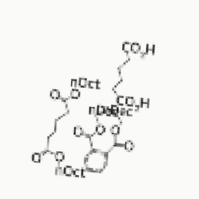 CCCCCCCCCCCOC(=O)c1ccccc1C(=O)OCCCCCCCCCCC.CCCCCCCCOC(=O)CCCCC(=O)OCCCCCCCC.O=C(O)CCCCC(=O)O